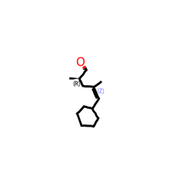 C/C(=C/C1CCCCC1)C[C@@H](C)C=O